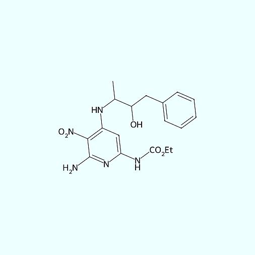 CCOC(=O)Nc1cc(NC(C)C(O)Cc2ccccc2)c([N+](=O)[O-])c(N)n1